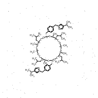 CC(C)C[C@H]1CO[C@H](C)CN(C)[C@@H](CC(C)C)CO[C@H](Cc2ccc(Cn3cc(N(C)C)cn3)cc2)CN(C)[C@@H](CC(C)C)CO[C@H](C)CN(C)[C@@H](CC(C)C)CO[C@H](Cc2ccc(Cn3cc(N(C)C)cn3)cc2)CN1C